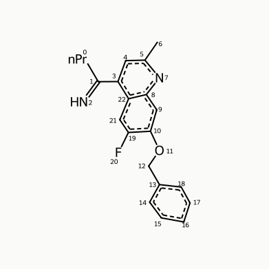 CCCC(=N)c1cc(C)nc2cc(OCc3ccccc3)c(F)cc12